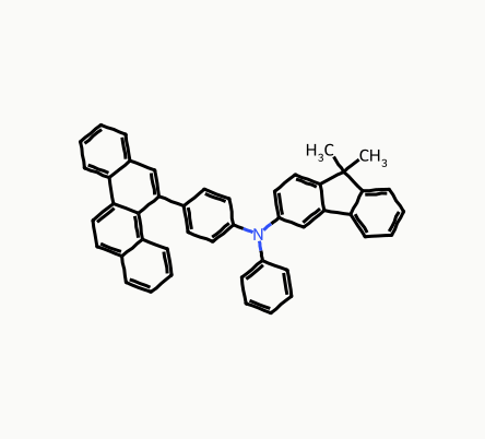 CC1(C)c2ccccc2-c2cc(N(c3ccccc3)c3ccc(-c4cc5ccccc5c5ccc6ccccc6c45)cc3)ccc21